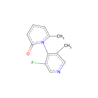 Cc1cncc(F)c1-n1c(C)cccc1=O